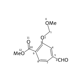 COCOc1cc(C=O)ccc1C(=O)OC